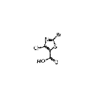 O=C(O)c1sc(Br)nc1Cl